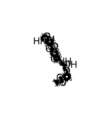 O=S(=O)(c1cccc(OCC(O)CN[C@H]2COC3(CCN(S(=O)(=O)c4cnc5c(c4)NCCO5)CC3)C2)c1)C1CC1